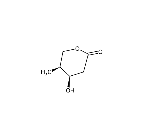 C[C@H]1COC(=O)C[C@H]1O